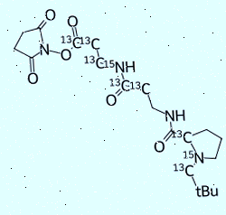 CC(C)(C)[13CH2][15N]1CCC[13CH]1C(=O)NC[13CH2][13C](=O)[15NH][13CH2][13CH2][13C](=O)ON1C(=O)CCC1=O